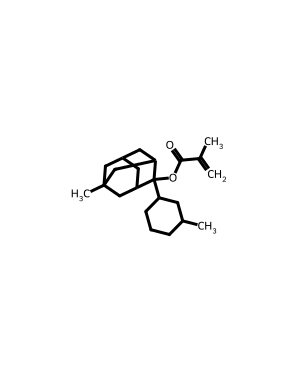 C=C(C)C(=O)OC1(C2CCCC(C)C2)C2CC3CC1CC(C)(C3)C2